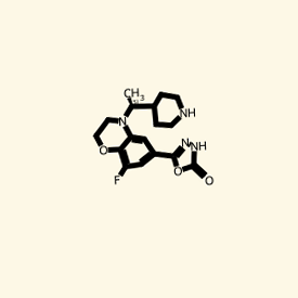 C[C@@H](C1CCNCC1)N1CCOc2c(F)cc(-c3n[nH]c(=O)o3)cc21